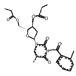 CCC(=O)OC[C@H]1O[C@@H](n2cc(F)c(=O)n(C(=O)c3ccccc3C)c2=O)C[C@@H]1OC(=O)CC